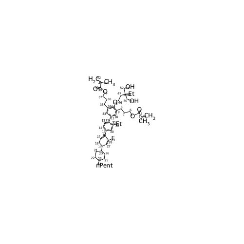 C=C(C)C(=O)OCCCc1cc(-c2ccc(C3=CCC(C4CCC(CCCCC)CC4)C=C3F)cc2CC)cc(CCCOC(=O)C(=C)C)c1OCCC(CC)(CO)CO